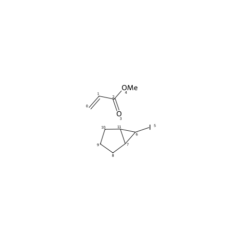 C=CC(=O)OC.IC1C2CCCC12